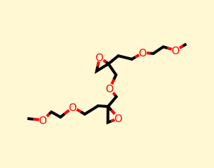 COCCOCCC1(COCC2(CCOCCOC)CO2)CO1